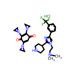 CN(C)CCn1cc(-c2cccc(C(F)(F)F)c2)nc1C1CCNCC1.Cl.O=C1C=C(N2CC2)C(=O)C(N2CC2)=C1N1CC1